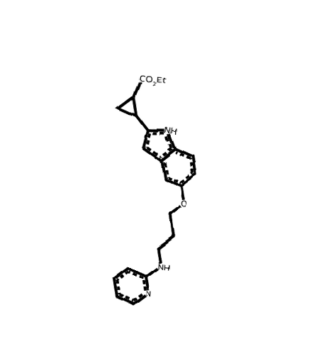 CCOC(=O)C1CC1c1cc2cc(OCCCNc3ccccn3)ccc2[nH]1